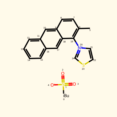 CCC(C)S(=O)(=O)[O-].Cc1ccc2cc3ccccc3cc2c1-[n+]1ccsc1